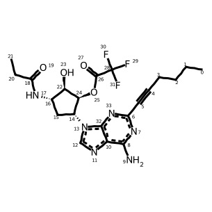 CCCCC#Cc1nc(N)c2ncn([C@@H]3C[C@H](NC(=O)CC)[C@@H](O)[C@H]3OC(=O)C(F)(F)F)c2n1